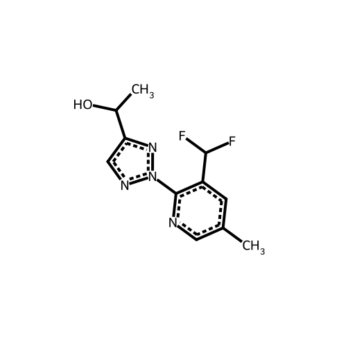 Cc1cnc(-n2ncc(C(C)O)n2)c(C(F)F)c1